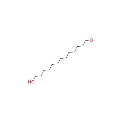 [O]CCCCCCCCCCCCCO